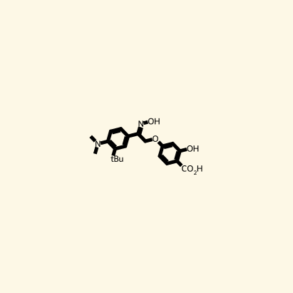 CN(C)c1ccc(C(COc2ccc(C(=O)O)c(O)c2)=NO)cc1C(C)(C)C